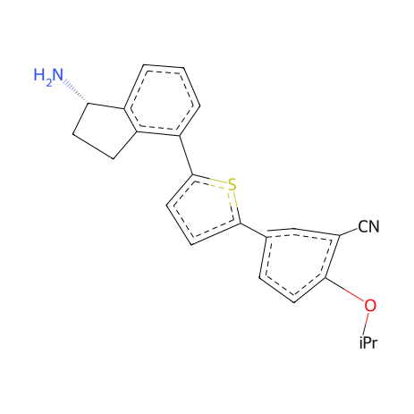 CC(C)Oc1ccc(-c2ccc(-c3cccc4c3CC[C@@H]4N)s2)cc1C#N